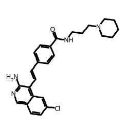 Nc1ncc2ccc(Cl)cc2c1/C=C/c1ccc(C(=O)NCCCN2CCCCC2)cc1